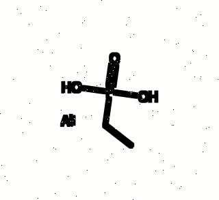 CCP(=O)(O)O.[Al]